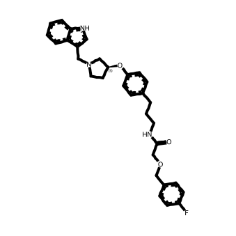 O=C(COCc1ccc(F)cc1)NCCCc1ccc(O[C@H]2CCN(Cc3c[nH]c4ccccc34)C2)cc1